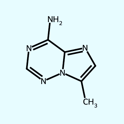 Cc1cnc2c(N)ncnn12